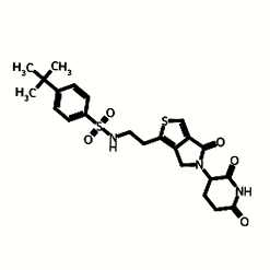 CC(C)(C)c1ccc(S(=O)(=O)NCCc2scc3c2CN(C2CCC(=O)NC2=O)C3=O)cc1